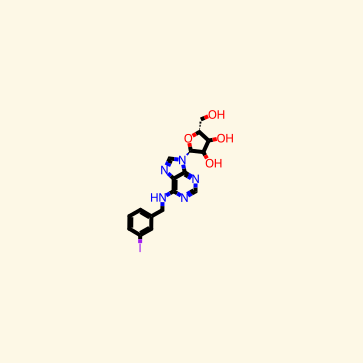 OC[C@H]1O[C@@H](n2cnc3c(NCc4cccc(I)c4)ncnc32)C(O)C1O